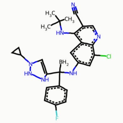 BC(Nc1cc(Cl)c2ncc(C#N)c(NC(C)(C)C)c2c1)(C1=CN(C2CC2)NN1)c1ccc(F)cc1